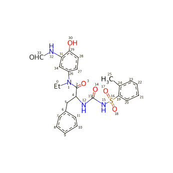 CCN(C(=O)C(Cc1ccccc1)NC(=O)NS(=O)(=O)c1ccccc1C)c1ccc(O)c(NC=O)c1